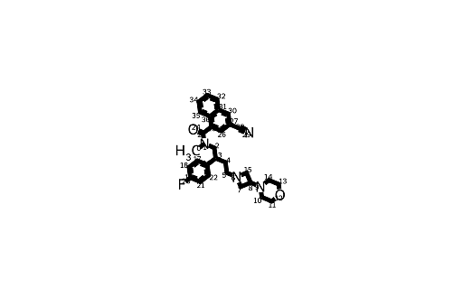 CN(CC(CCN1CC(N2CCOCC2)C1)c1ccc(F)cc1)C(=O)c1cc(C#N)cc2ccccc12